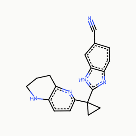 N#Cc1ccc2nc(C3(c4ccc5c(n4)CCCN5)CC3)[nH]c2c1